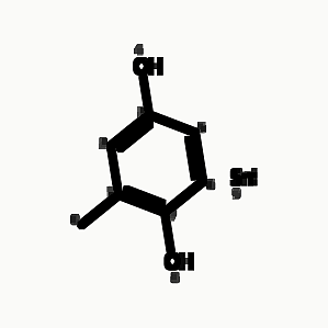 Cc1cc(O)ccc1O.[Sn]